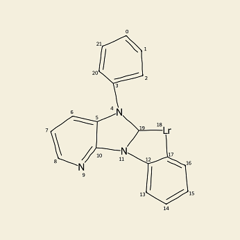 c1ccc(N2c3cccnc3N3c4cccc[c]4[Lr][CH]23)cc1